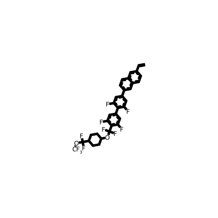 C=Cc1ccc2cc(-c3cc(F)c(-c4cc(F)c(C(F)(F)OC5CCC(C(F)(F)OC(F)(F)F)CC5)c(F)c4)c(F)c3)ccc2c1